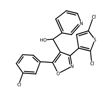 OC(c1cccnc1)c1c(-c2cc(Cl)sc2Cl)noc1-c1cccc(Cl)c1